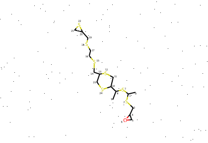 CC(SCC1CO1)SC(C)C1CSC(CSCCSCC2CS2)CS1